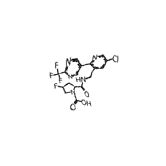 O=C(NCc1cc(Cl)cnc1-c1cnc(C(F)(F)F)nc1)C1CC(F)CN1C(=O)O